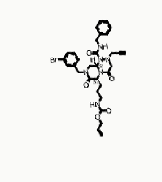 C#CCN1CC(=O)N2[C@@H](CCCNC(=O)OCC=C)C(=O)N(Cc3cccc(Br)c3)C[C@@H]2N1C(=O)NCc1ccccc1